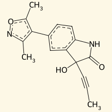 CC#CC1(O)C(=O)Nc2ccc(-c3c(C)noc3C)cc21